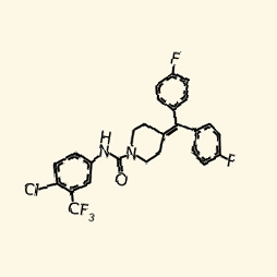 O=C(Nc1ccc(Cl)c(C(F)(F)F)c1)N1CCC(=C(c2ccc(F)cc2)c2ccc(F)cc2)CC1